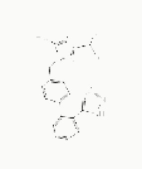 CCCC(N)c1nc(C(C)CC)n(Cc2ccc(-c3ccccc3-c3nnn[nH]3)cc2)n1